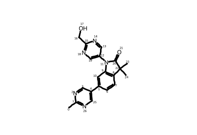 Cc1ncc(-c2ccc3c(c2)N(c2cnc(CO)nc2)C(=O)C3(C)C)cn1